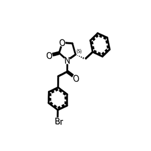 O=C(Cc1ccc(Br)cc1)N1C(=O)OC[C@@H]1Cc1ccccc1